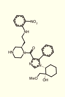 COC[C@]1(O)CCCC[C@H]1n1cnc(C(=O)N2CCNC[C@H]2CCNc2ccccc2[N+](=O)[O-])c1-c1ccccc1